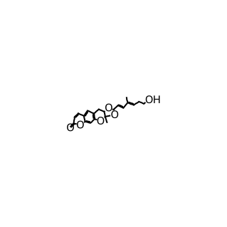 CC(/C=C/C(=O)O[C@H]1Cc2cc3ccc(=O)oc3cc2OC1(C)C)=C\CCO